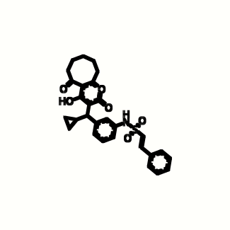 O=C1CCCCCc2oc(=O)c(C(c3cccc(NS(=O)(=O)C=Cc4ccccc4)c3)C3CC3)c(O)c21